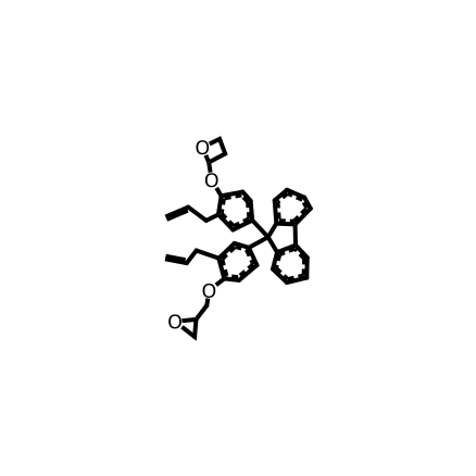 C=CCc1cc(C2(c3ccc(OC4CCO4)c(CC=C)c3)c3ccccc3-c3ccccc32)ccc1OCC1CO1